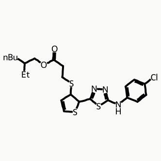 CCCCC(CC)COC(=O)CCSC1C=CSC1c1nnc(Nc2ccc(Cl)cc2)s1